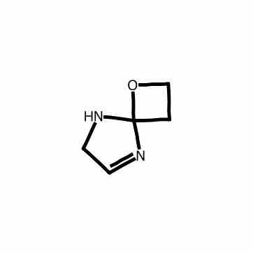 C1=NC2(CCO2)NC1